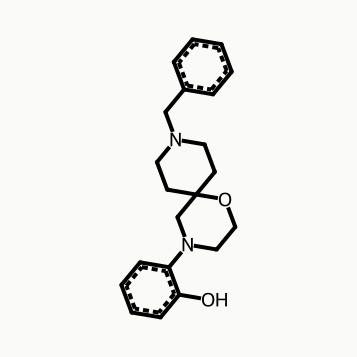 Oc1ccccc1N1CCOC2(CCN(Cc3ccccc3)CC2)C1